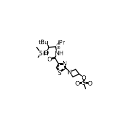 CC(C)[C@H](NC(=O)c1csc(N2CC(OS(C)(=O)=O)C2)n1)C(O[SiH](C)C)C(C)(C)C